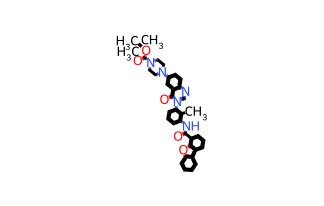 Cc1c(NC(=O)c2cccc3c2oc2ccccc23)cccc1-n1cnc2ccc(N3CCN(C(=O)OC(C)(C)C)CC3)cc2c1=O